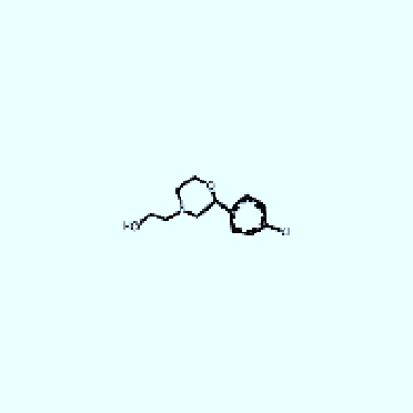 OCCN1CCOC(c2ccc(Cl)cc2)C1